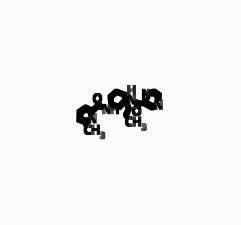 CCCC1(NC(=O)c2cnccn2)CCCC(NC(=O)c2cccc(C)n2)C1